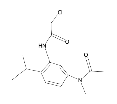 CC(=O)N(C)c1ccc(C(C)C)c(NC(=O)CCl)c1